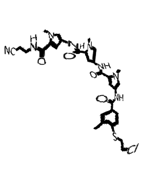 Cc1cc(C(=O)Nc2cc(C(=O)Nc3cc(C(=O)Nc4cc(C(=O)NCCC#N)n(C)c4)n(C)c3)n(C)c2)ccc1SCCCl